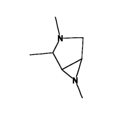 CC1C2C(CN1C)N2C